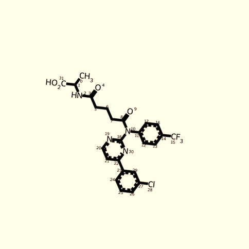 CC(NC(=O)CCCC(=O)N(c1ccc(C(F)(F)F)cc1)c1nccc(-c2cccc(Cl)c2)n1)C(=O)O